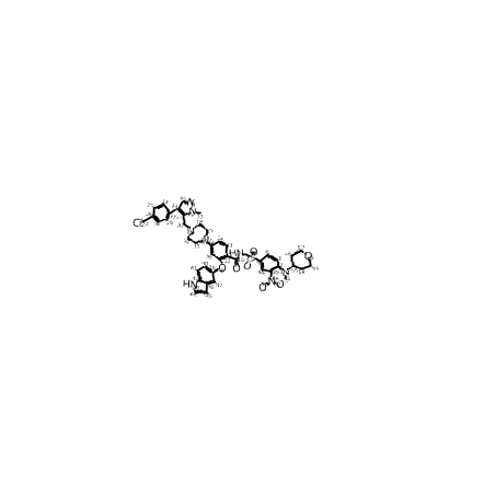 CN(c1ccc(S(=O)(=O)NC(=O)c2ccc(N3CCN(Cc4c(-c5ccc(Cl)cc5)cnn4C)CC3)cc2Oc2ccc3[nH]ccc3c2)cc1[N+](=O)[O-])C1CCOCC1